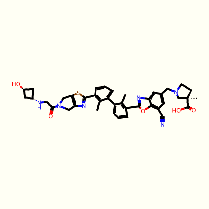 Cc1c(-c2nc3cc(CN4CC[C@@](C)(C(=O)O)C4)cc(C#N)c3o2)cccc1-c1cccc(-c2nc3c(s2)CN(C(=O)CN[C@H]2C[C@H](O)C2)C3)c1C